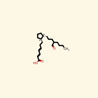 CCCCC(C=O)CCC[C@H]1CCC[C@@H]1CCC=CC=CC(=O)O